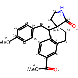 COC(=O)c1ccc2c(c1)CC[C@@]1(CCNC1=O)C2Cc1ccc(OC)cc1